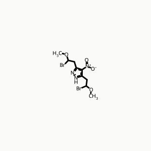 COC(Br)Cc1n[nH]c(CC(Br)OC)c1[N+](=O)[O-]